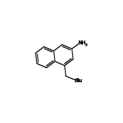 CC(C)(C)Cc1cc(N)cc2ccccc12